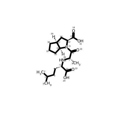 CC(C)CC[C@H](N[C@@H](C)C(=O)N1[C@H](C(=O)O)C[C@@H]2CCC[C@@H]21)C(=O)O